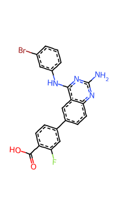 Nc1nc(Nc2cccc(Br)c2)c2cc(-c3ccc(C(=O)O)c(F)c3)ccc2n1